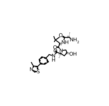 Cc1ncsc1-c1ccc(CNC(=O)[C@]2(C)C[C@@H](O)CN2C(=O)[C@@H](NC(=O)[C@H](C)N)C(C)(C)C)cc1